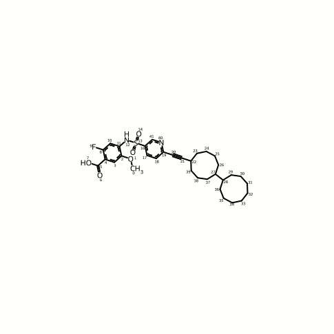 COc1cc(C(=O)O)c(F)cc1NS(=O)(=O)c1ccc(C#CC2CCCCC(C3CCCCCCCC3)CCC2)nc1